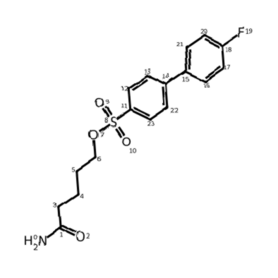 NC(=O)CCCCOS(=O)(=O)c1ccc(-c2ccc(F)cc2)cc1